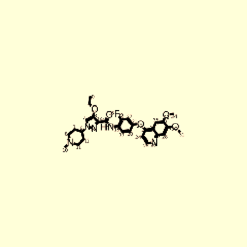 CCOc1cn(C2CCN(C)CC2)nc1C(=O)Nc1ccc(Oc2ccnc3cc(OC)c(OC)cc23)cc1F